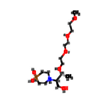 COCCOCCOCCO[C@H](C)[C@@H](CO)N1CCS(=O)(=O)CC1